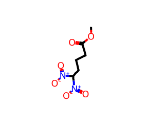 COC(=O)CCCC([N+](=O)[O-])[N+](=O)[O-]